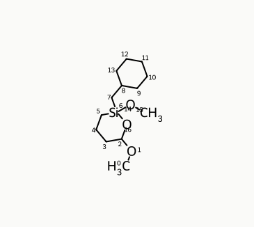 COC1CCC[Si](CC2CCCCC2)(OC)O1